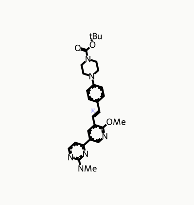 CNc1nccc(-c2cnc(OC)c(/C=C/c3ccc(N4CCN(C(=O)OC(C)(C)C)CC4)cc3)c2)n1